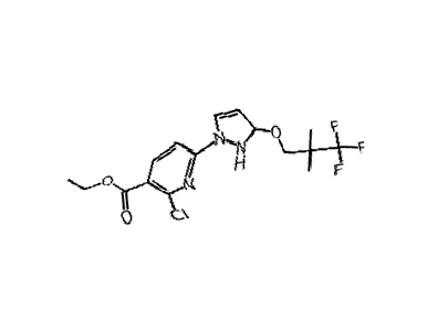 CCOC(=O)c1ccc(N2C=CC(OCC(C)(C)C(F)(F)F)N2)nc1Cl